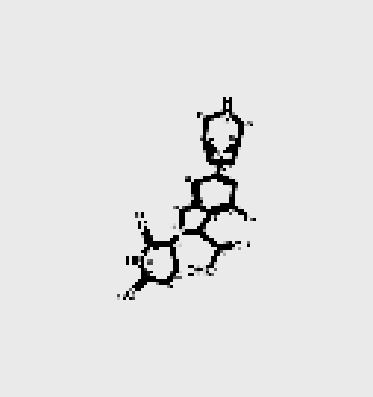 O=CC(=O)C1c2c(F)cc(N3C4CCC3CNC4)cc2CN1C1CCC(=O)NC1=O